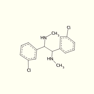 CNC(c1cccc(Cl)c1)C(NC)c1cccc(Cl)c1